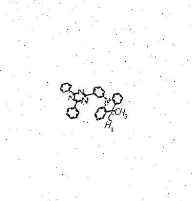 CC1(C)c2ccccc2N(c2cccc(-c3nc(-c4ccccc4)nc(-c4ccccc4)n3)c2)c2ccccc21